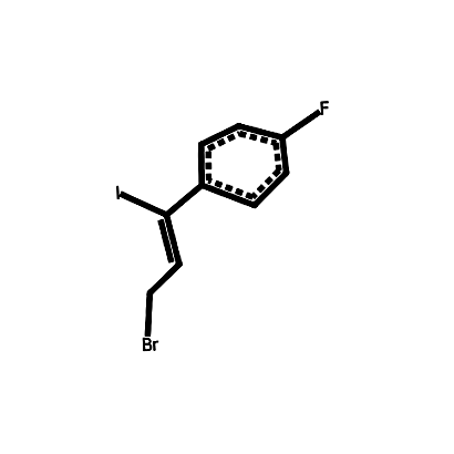 Fc1ccc(/C(I)=C/CBr)cc1